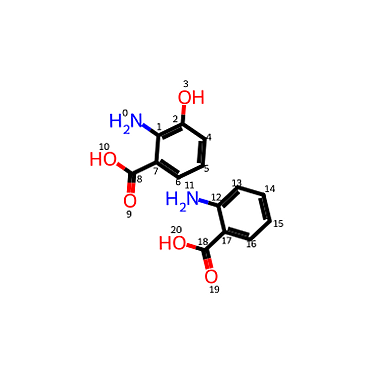 Nc1c(O)cccc1C(=O)O.Nc1ccccc1C(=O)O